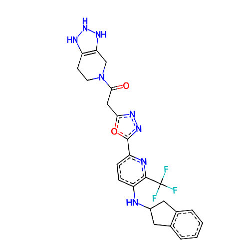 O=C(Cc1nnc(-c2ccc(NC3Cc4ccccc4C3)c(C(F)(F)F)n2)o1)N1CCC2=C(C1)NNN2